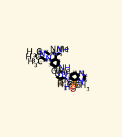 CN/C=C(\C=N)c1cc(Nc2ncc(Br)c(Nc3ccc4nccnc4c3P(C)(C)=O)n2)c(OC)cc1N1CCN(C)C(C)(C)C1